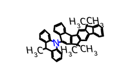 CC1c2ccccc2N(c2cc3c(c4ccccc24)-c2cc4c(cc2C3(C)C)-c2ccccc2C4(C)C)c2ccccc21